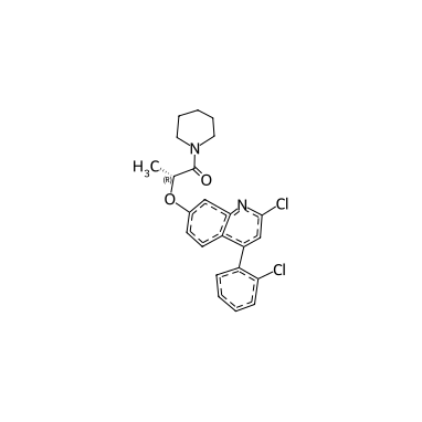 C[C@@H](Oc1ccc2c(-c3ccccc3Cl)cc(Cl)nc2c1)C(=O)N1CCCCC1